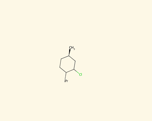 CC(C)C1CC[C@@H](C)CC1Cl